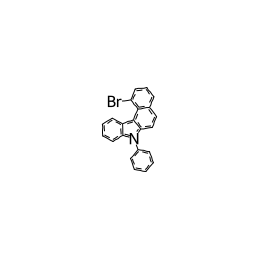 Brc1cccc2ccc3c(c4ccccc4n3-c3ccccc3)c12